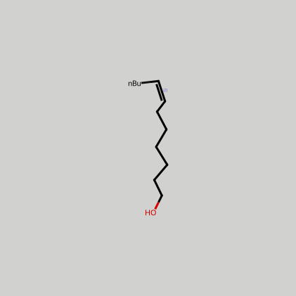 CCCC/C=C\CCCCCCO